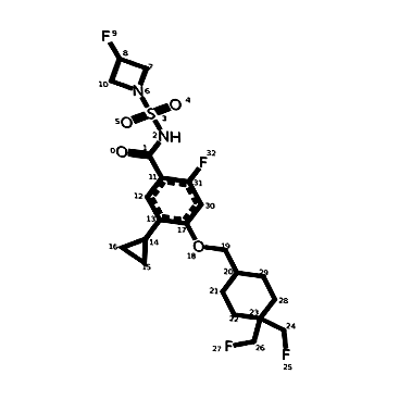 O=C(NS(=O)(=O)N1CC(F)C1)c1cc(C2CC2)c(OCC2CCC(CF)(CF)CC2)cc1F